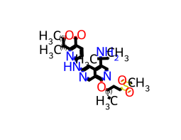 CC[C@@H](CCS(C)(=O)=O)Oc1ncc(C(C)(N)CC)c2cc(Nc3ccc4c(n3)[C@@H](C)[C@H](C)OC4=O)ncc12